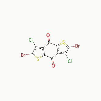 O=C1c2sc(Br)c(Cl)c2C(=O)c2sc(Br)c(Cl)c21